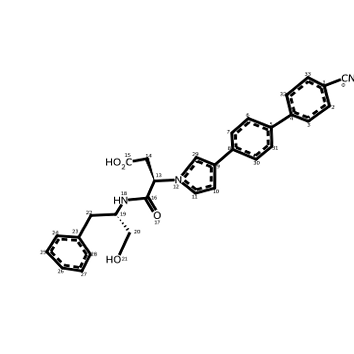 N#Cc1ccc(-c2ccc(-c3ccn([C@H](CC(=O)O)C(=O)N[C@H](CO)Cc4ccccc4)c3)cc2)cc1